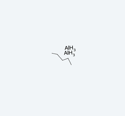 CCCCC.[AlH3].[AlH3]